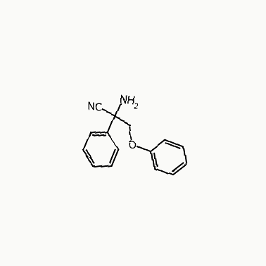 N#CC(N)(COc1ccccc1)c1ccccc1